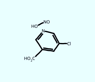 O=C(O)c1cncc(Cl)c1.O=NO